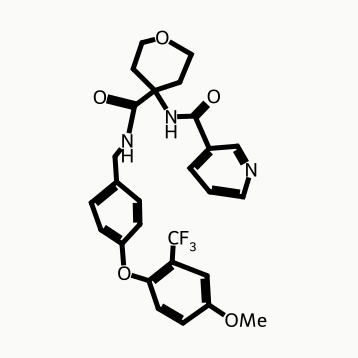 COc1ccc(Oc2ccc(CNC(=O)C3(NC(=O)c4cccnc4)CCOCC3)cc2)c(C(F)(F)F)c1